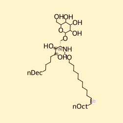 CCCCCCCC/C=C\CCCCCCCCCOCN[C@@H](COC1OC(CO)C(O)C(O)C1O)[C@H](O)[C@H](O)CCCCCCCCCCCCCC